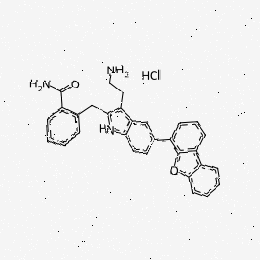 Cl.NCCc1c(Cc2ccccc2C(N)=O)[nH]c2ccc(-c3cccc4c3oc3ccccc34)cc12